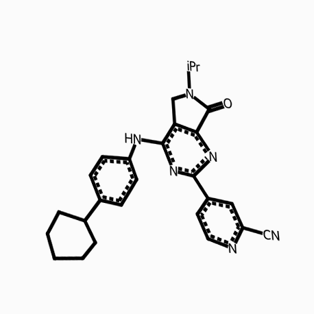 CC(C)N1Cc2c(Nc3ccc(C4CCCCC4)cc3)nc(-c3ccnc(C#N)c3)nc2C1=O